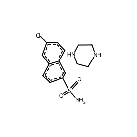 C1CNCCN1.NS(=O)(=O)c1ccc2cc(Cl)ccc2c1